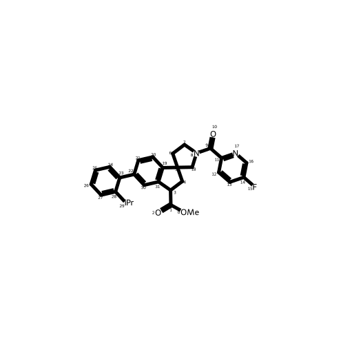 COC(=O)C1CC2(CCN(C(=O)c3ccc(F)cn3)C2)c2ccc(-c3ccccc3C(C)C)cc21